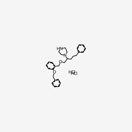 Cl.Cl.c1ccc(CCCC(COCc2ccccc2OCc2ccccc2)N2CCNCC2)cc1